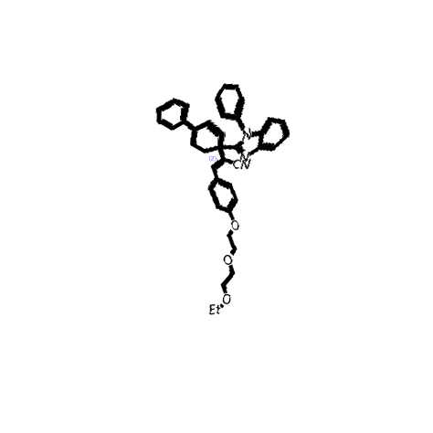 CCOCCOCCOc1ccc(/C=C(\C#N)C2(c3nc4ccccc4n3-c3ccccc3)C=CC(c3ccccc3)=CC2)cc1